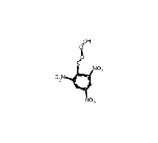 O=[N+]([O-])c1cc([N+](=O)[O-])c(SOOO)c([N+](=O)[O-])c1